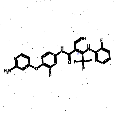 N=C/C(C(=O)Nc1ccc(Oc2ccnc(N)c2)c(F)c1)=C(\Nc1ncccc1F)C(F)(F)F